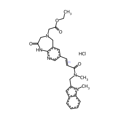 CCOC(=O)CN1CC(=O)Nc2ncc(/C=C/C(=O)N(C)Cc3cc4ccccc4n3C)cc2C1.Cl